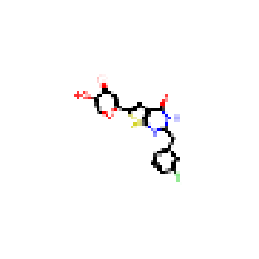 O=c1cc(-c2cc3c(=O)[nH]c(Cc4cccc(Cl)c4)nc3s2)occ1O